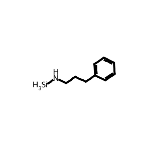 [SiH3]NCCCc1ccccc1